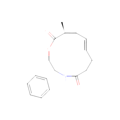 C[C@H]1C/C=C/CCC(=O)N[C@H](c2ccccc2)COC1=O